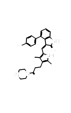 Cc1[nH]c(/C=C2\C(=O)Nc3cccc(-c4ccc(Cl)cc4)c32)c(C)c1CCC(=O)N1C[C@@H](C)N[C@@H](C)C1